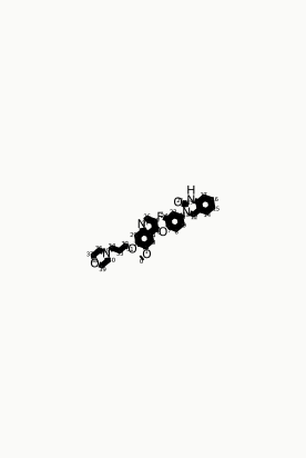 COc1cc2c(Oc3ccc(N4Cc5ccccc5NC4=O)cc3F)ccnc2cc1OCCCN1CCOCC1